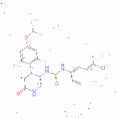 C=C/C(=C\C=C(/C)Cl)NC(=O)NC1CNC(=O)CC1c1c(F)cc(OC(F)F)cc1F